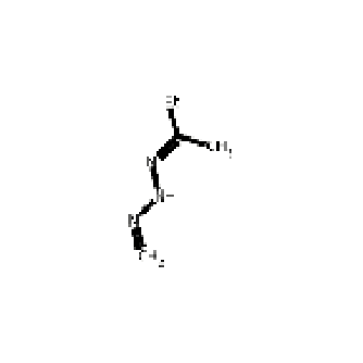 C=NN/N=C(\C)CC